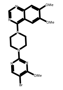 COc1cc2ncnc(N3CCN(c4ncc(Br)c(OC)n4)CC3)c2cc1OC